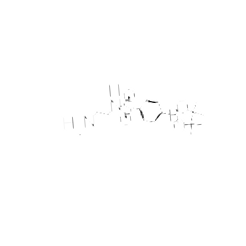 CC1(C)OB(c2ccc(S(=O)(=O)NCCN)cc2)OC1(C)C